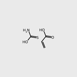 C=CC(=O)O.NC(O)=S